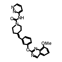 COc1cccc2cnc(Oc3cccc(C=C4CCN(C(=O)Nc5cccnn5)CC4)c3)nc12